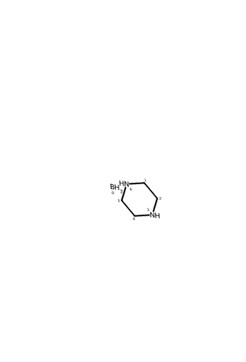 B.C1CNCCN1